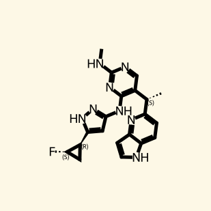 CNc1ncc([C@H](C)c2ccc3[nH]ccc3n2)c(Nc2cc([C@H]3C[C@@H]3F)[nH]n2)n1